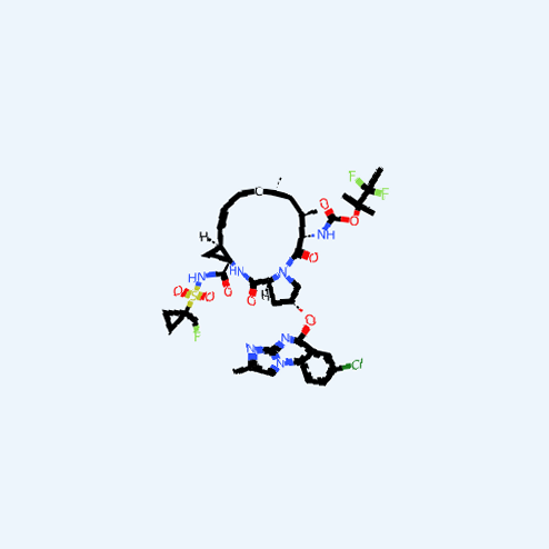 Cc1cn2c(n1)nc(O[C@@H]1C[C@H]3C(=O)N[C@]4(C(=O)NS(=O)(=O)C5(CF)CC5)C[C@H]4/C=C\CC[C@H](C)C[C@@H](C)[C@H](NC(=O)OC(C)(C)C(C)(F)F)C(=O)N3C1)c1cc(Cl)ccc12